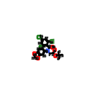 CC(C)(C)OC(=O)CN(C(=O)c1c(Cl)cc(Cl)cc1Cl)c1ccc2c(c1)OCO2